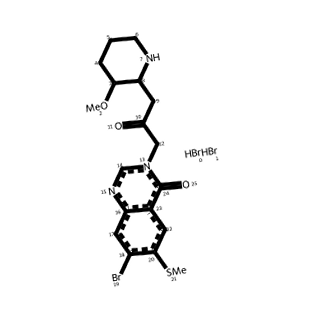 Br.Br.COC1CCCNC1CC(=O)Cn1cnc2cc(Br)c(SC)cc2c1=O